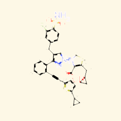 NS(=O)(=O)c1ccc(Cc2cn(N3CSC(CC4CC4)=C3C(=O)O)nc2-c2ccccc2C#Cc2ccc(C3CC3)s2)cc1F